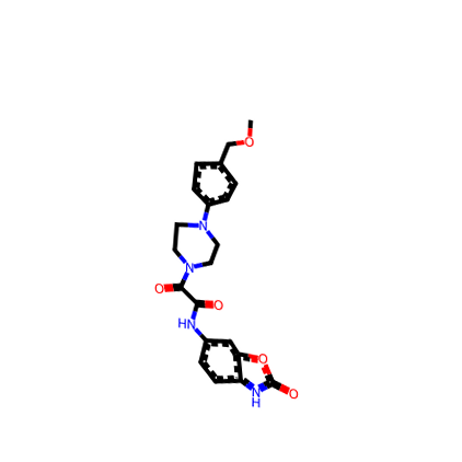 COCc1ccc(N2CCN(C(=O)C(=O)Nc3ccc4[nH]c(=O)oc4c3)CC2)cc1